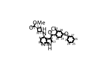 COC(=O)[C@H]1C[C@@H](Nc2ccnc3[nH]cc(C(=O)c4ccc(Oc5ccccc5)cc4Cl)c23)C1